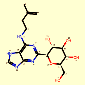 C=C(C)CCNc1nc([C@@H]2O[C@H](CO)[C@H](O)[C@H](O)[C@H]2O)nc2nc[nH]c12